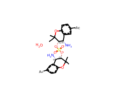 CC(=O)c1ccc2c(c1)[C@H](N)[C@H](OS(=O)(=O)O[C@H]1[C@@H](N)c3cc(C(C)=O)ccc3OC1(C)C)C(C)(C)O2.O